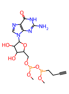 C#CCCP(OC)OP(OC)OCC1OC(n2cnc3c(=O)[nH]c(N)nc32)C(O)C1O